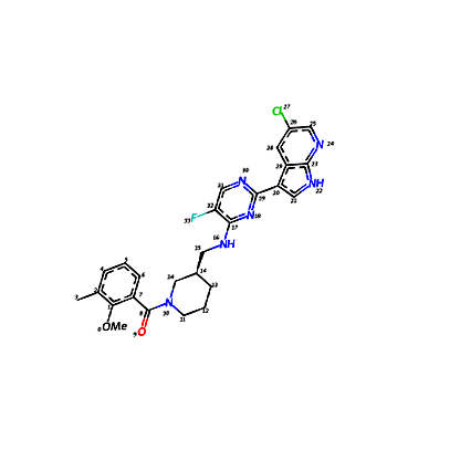 COc1c(C)cccc1C(=O)N1CCC[C@H](CNc2nc(-c3c[nH]c4ncc(Cl)cc34)ncc2F)C1